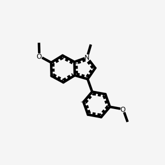 COc1cc[c]c(-c2cn(C)c3cc(OC)ccc23)c1